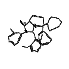 Cc1ccccc1N1C(c2c(C)cccc2C)N2C(C=CC2(c2ccccc2)C2CCCCC2)[C@@H]1C